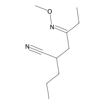 CCCC(C#N)CC(CC)=NOC